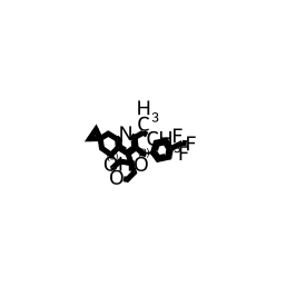 CC(C)c1nc2c(c3c1[C@@H](c1ccc(C(F)(F)F)cc1)OC31CCOCC1)[C@@H](O)CC1(CC1)C2